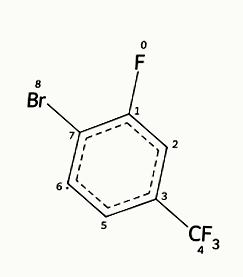 Fc1cc(C(F)(F)F)c[c]c1Br